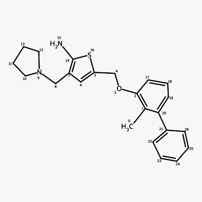 Cc1c(OCc2cc(CN3CCCC3)c(N)s2)cccc1-c1ccccc1